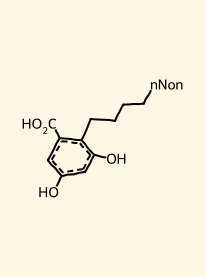 CCCCCCCCCCCCCc1c(O)cc(O)cc1C(=O)O